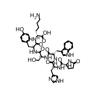 NCCCC[C@@H](NC(=O)[C@H](Cc1ccc(O)cc1)NC(=O)[C@H](CO)NC(=O)[C@H](Cc1c[nH]c2ccccc12)NC(=O)[C@H](Cc1c[nH]cn1)NC(=O)[C@@H]1CCC(=O)N1)C(=O)O